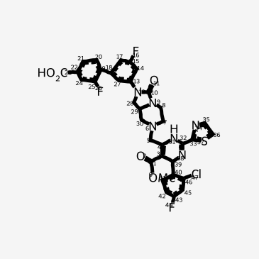 COC(=O)C1=C(CN2CCN3C(=O)N(c4cc(F)cc(-c5ccc(C(=O)O)cc5F)c4)CC3C2)NC(c2nccs2)=NC1c1ccc(F)cc1Cl